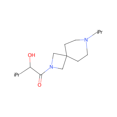 CC(C)C(O)C(=O)N1CC2(CCN(C(C)C)CC2)C1